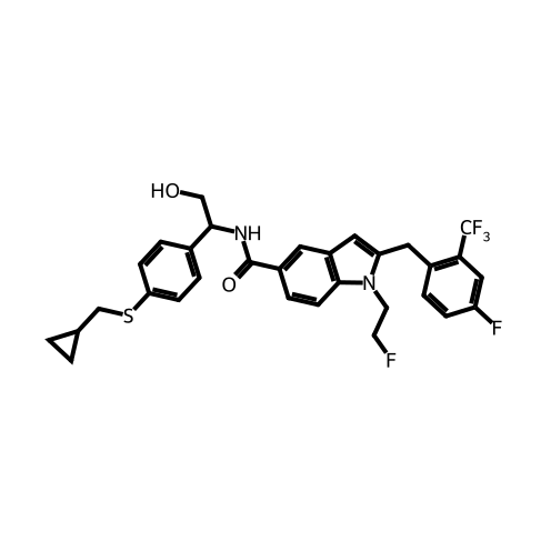 O=C(NC(CO)c1ccc(SCC2CC2)cc1)c1ccc2c(c1)cc(Cc1ccc(F)cc1C(F)(F)F)n2CCF